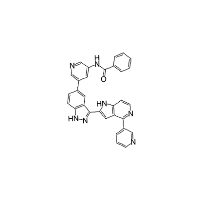 O=C(Nc1cncc(-c2ccc3[nH]nc(-c4cc5c(-c6cccnc6)nccc5[nH]4)c3c2)c1)c1ccccc1